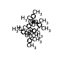 Cc1ccc(OP(Oc2ccc(C)cc2C)Oc2c(C)cc(C)cc2-c2cc(C)cc(C)c2OP(Oc2ccc(C)cc2C)Oc2ccc(C)cc2C)c(C)c1